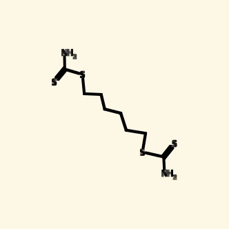 NC(=S)SCCCCCCSC(N)=S